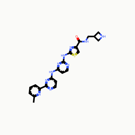 Cc1cccc(-c2nccc(Nc3ccnc(Nc4nc(C(=O)NCC5CNC5)cs4)n3)n2)n1